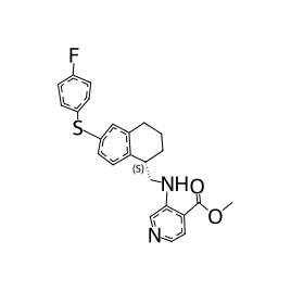 COC(=O)c1ccncc1NC[C@H]1CCCc2cc(Sc3ccc(F)cc3)ccc21